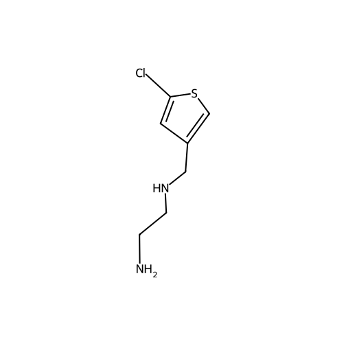 NCCNCc1csc(Cl)c1